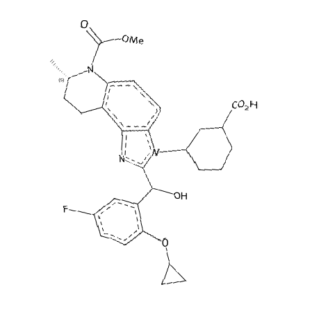 COC(=O)N1c2ccc3c(nc(C(O)c4cc(F)ccc4OC4CC4)n3C3CCCC(C(=O)O)C3)c2CC[C@@H]1C